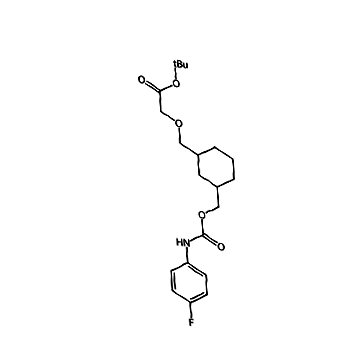 CC(C)(C)OC(=O)COCC1CCCC(COC(=O)Nc2ccc(F)cc2)C1